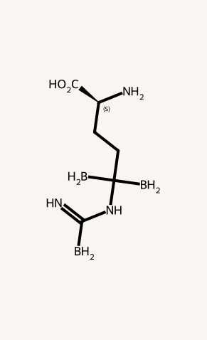 BC(=N)NC(B)(B)CC[C@H](N)C(=O)O